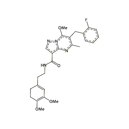 COC1=C(OC)CCC(CCNC(=O)c2cnn3c(OC)c(Cc4ccccc4F)c(C)nc23)=C1